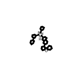 c1ccc(C2=NC(c3cccc(-c4ccccc4)c3)NC(c3ccc4ccc(-c5cccc6oc7ccccc7c56)cc4c3)=N2)cc1